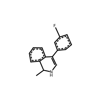 CC1N[C]=C(c2cccc(F)c2)c2ccccc21